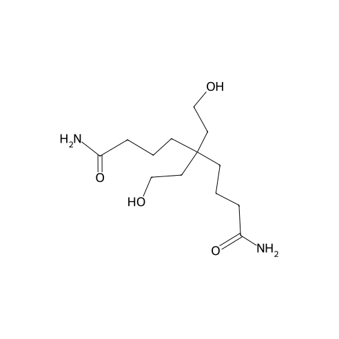 NC(=O)CCCC(CCO)(CCO)CCCC(N)=O